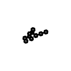 c1ccc(-c2ccc(-c3cccc(-n4c5ccccc5c5ccc6c(c7ccccc7n6-c6cccc7ccccc67)c54)c3)cc2)cc1